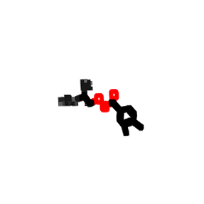 CCCCC([CH]OOC(=O)c1ccc(C)c(C)c1)CC